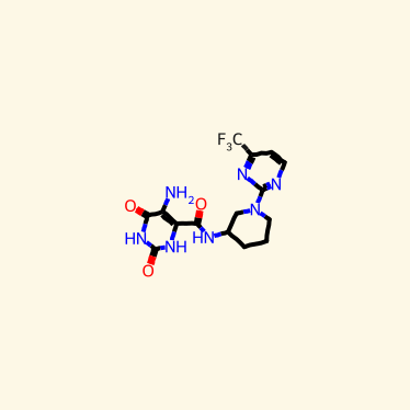 Nc1c(C(=O)NC2CCCN(c3nccc(C(F)(F)F)n3)C2)[nH]c(=O)[nH]c1=O